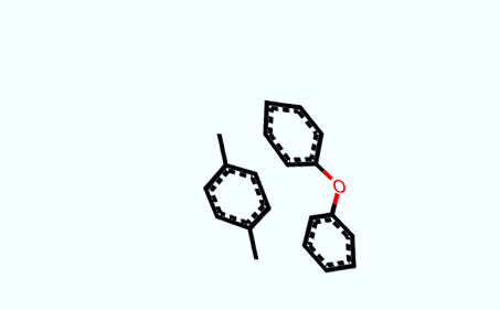 Cc1ccc(C)cc1.c1ccc(Oc2ccccc2)cc1